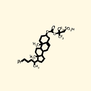 CC(C)CCCC(C)C1CCC2C3CC=C4CC(OC(=O)OC(CS(=O)(=O)O)(C(F)(F)F)C(F)(F)F)CCC4(C)C3CCC12C